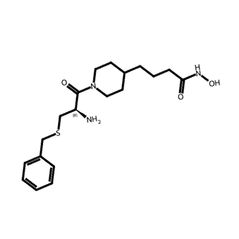 N[C@@H](CSCc1ccccc1)C(=O)N1CCC(CCCC(=O)NO)CC1